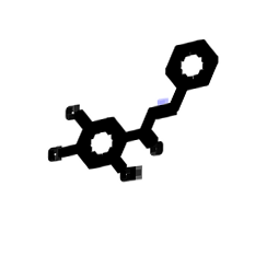 O=C(/C=C/c1ccccc1)c1cc(Cl)c(Cl)cc1O